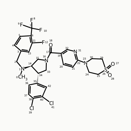 CN(Cc1ccc(C(F)(F)F)c(F)c1)[C@H]1CN(C(=O)c2ccc(N3CCS(=O)(=O)CC3)nc2)C[C@@H]1c1ccc(Cl)c(Cl)c1